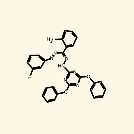 Cc1ccccc1C(=N/Nc1nc(Oc2ccccc2)nc(Oc2ccccc2)n1)/N=N/c1cccc(F)c1